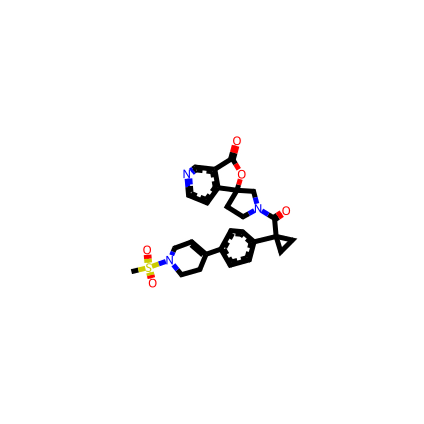 CS(=O)(=O)N1CC=C(c2ccc(C3(C(=O)N4CCC5(C4)OC(=O)c4cnccc45)CC3)cc2)CC1